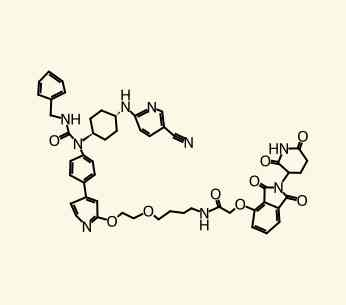 N#Cc1ccc(N[C@H]2CC[C@H](N(C(=O)NCc3ccccc3)c3ccc(-c4ccnc(OCCOCCCCNC(=O)COc5cccc6c5C(=O)N(C5CCC(=O)NC5=O)C6=O)c4)cc3)CC2)nc1